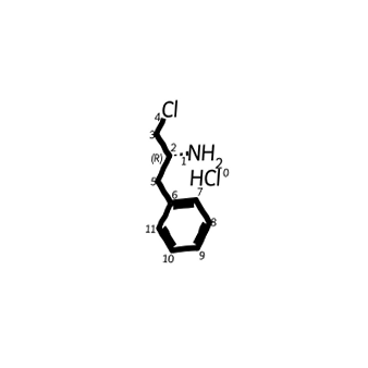 Cl.N[C@@H](CCl)Cc1ccccc1